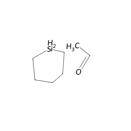 C1CC[SiH2]CC1.CC=O